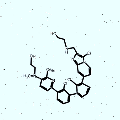 COc1nc(-c2cccc(-c3cccc(-c4ccn5c(Cl)c(CNCCO)nc5c4)c3Cl)c2Cl)ccc1N(C)CCO